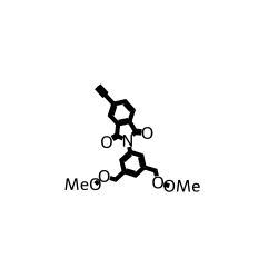 C#Cc1ccc2c(c1)C(=O)N(c1cc(COOC)cc(COOC)c1)C2=O